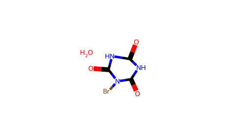 O.O=c1[nH]c(=O)n(Br)c(=O)[nH]1